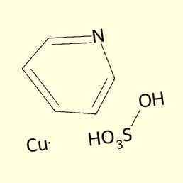 O=S(=O)(O)O.[Cu].c1ccncc1